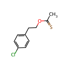 CC(=S)OCCc1ccc(Cl)cc1